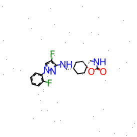 O=C1NC[C@]2(CC[C@@H](CNc3nn(-c4ccccc4F)cc3F)CC2)O1